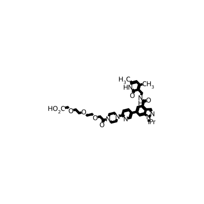 Cc1cc(C)c(CNC(=O)c2cc(-c3ccc(N4CCN(C(=O)COCCOCCOCC(=O)O)CC4)nc3)cc3c2cnn3C(C)C)c(=O)[nH]1